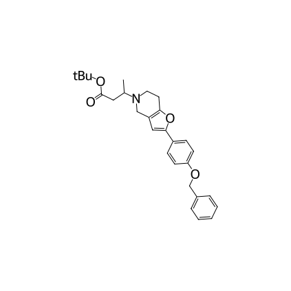 CC(CC(=O)OC(C)(C)C)N1CCc2oc(-c3ccc(OCc4ccccc4)cc3)cc2C1